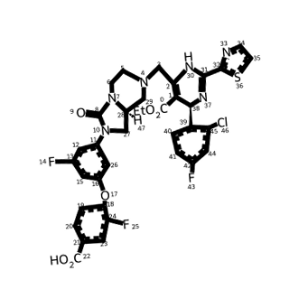 CCOC(=O)C1=C(CN2CCN3C(=O)N(c4cc(F)cc(Oc5ccc(C(=O)O)cc5F)c4)C[C@@H]3C2)NC(c2nccs2)=N[C@H]1c1ccc(F)cc1Cl